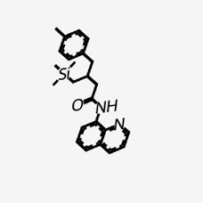 Cc1ccc(CC(CC(=O)Nc2cccc3cccnc23)C[Si](C)(C)C)cc1